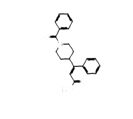 O=C(O)/C=C(\c1ccccc1)C1CCN(C(=O)c2ccccc2)CC1